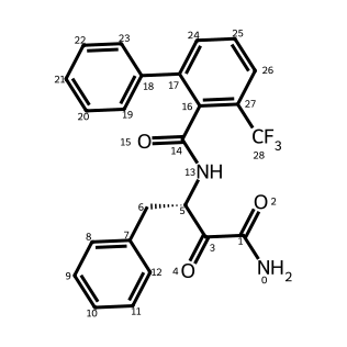 NC(=O)C(=O)[C@H](Cc1ccccc1)NC(=O)c1c(-c2ccccc2)cccc1C(F)(F)F